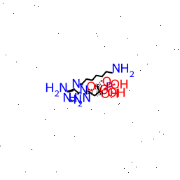 NCCCCCCc1nc2c(N)ncnc2n1[C@@]1(N)C[C@H](O)[C@@H](COP(=O)(O)O)O1